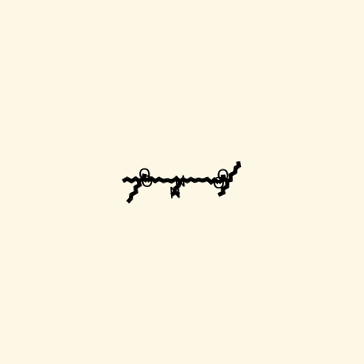 CCCCCCC(CCCC)C(=O)OCCCCCCCCCN(CCCCCCCOC(=O)C(CCCC)CCCCCC)CCN(C)C